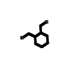 ClCC1C[CH]CCC1CCl